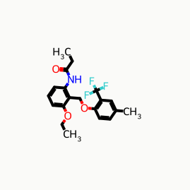 CCOc1cccc(NC(=O)CC)c1COc1ccc(C)cc1C(F)(F)F